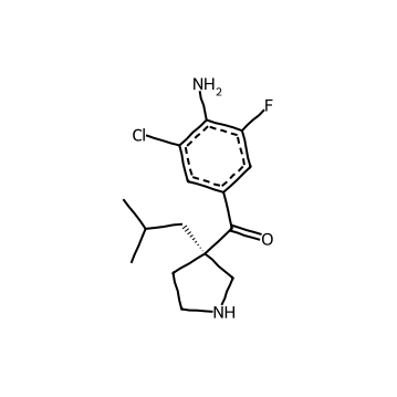 CC(C)C[C@@]1(C(=O)c2cc(F)c(N)c(Cl)c2)CCNC1